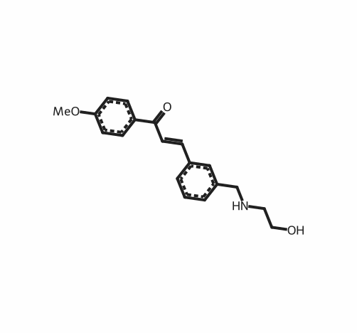 COc1ccc(C(=O)C=Cc2cccc(CNCCO)c2)cc1